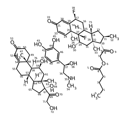 CCCCC(=O)OCC(=O)[C@H]1[C@H](C)C[C@H]2[C@@H]3C[C@H](F)C4=CC(=O)C=C[C@]4(C)[C@@]3(F)[C@@H](O)C[C@@]21C.CNC[C@H](O)c1ccc(O)c(O)c1.C[C@]12CCC(=O)C=C1CC[C@@H]1[C@@H]2[C@@H](O)C[C@@]2(C)[C@H]1CC[C@]2(O)C(=O)CO